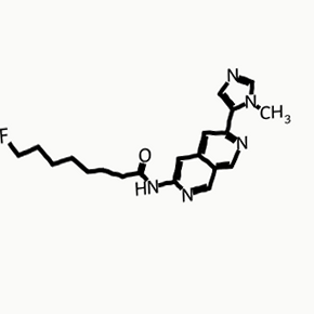 Cn1cncc1-c1cc2cc(NC(=O)CCCCCCCF)ncc2cn1